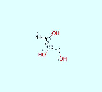 [2H][13C@@H](O)[C@@H](O)CO